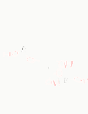 CC(CO)(COBO)C(O)OBO